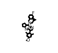 COc1cc(C)c(-c2cnn3c(N(Cc4ccc(F)cc4)CC4CC4)c4c(nc23)CCC4)c(C)c1